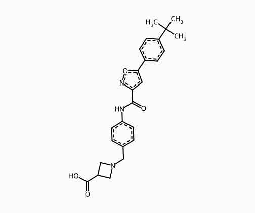 CC(C)(C)c1ccc(-c2cc(C(=O)Nc3ccc(CN4CC(C(=O)O)C4)cc3)no2)cc1